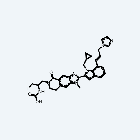 Cn1c(-c2cc3cccc(/C=C/Cn4ccnc4)c3n2CC2CC2)nc2cc3c(cc21)CCN(CC(CF)NC(=O)O)C3=O